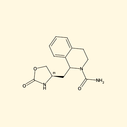 NC(=O)N1CCc2ccccc2C1C[C@@H]1COC(=O)N1